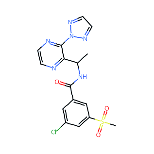 CC(NC(=O)c1cc(Cl)cc(S(C)(=O)=O)c1)c1nccnc1-n1nccn1